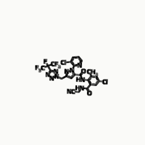 Cc1cc(Cl)cc(C(=O)NCC#N)c1NC(=O)c1cc(Cn2nnc(C(F)(C(F)(F)F)C(F)(F)F)n2)nn1-c1ncccc1Cl